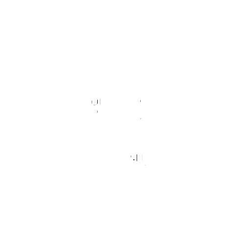 C=C(O)/C(N)=C\CC